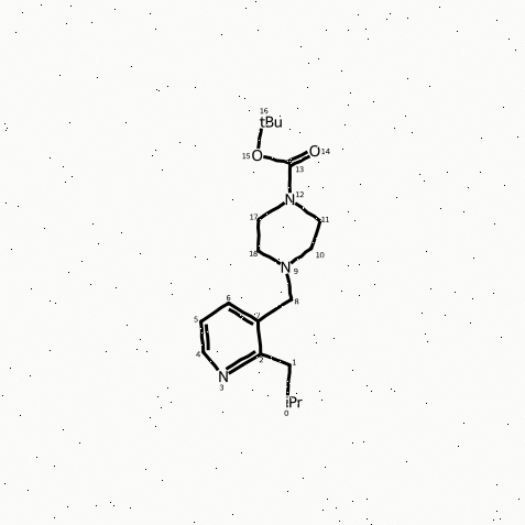 CC(C)Cc1ncccc1CN1CCN(C(=O)OC(C)(C)C)CC1